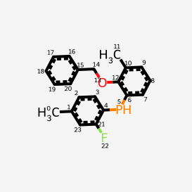 Cc1ccc(Pc2cccc(C)c2OCc2ccccc2)c(F)c1